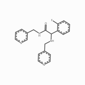 O=C(NCc1cccnc1)C(NCc1ccncc1)c1ccccc1F